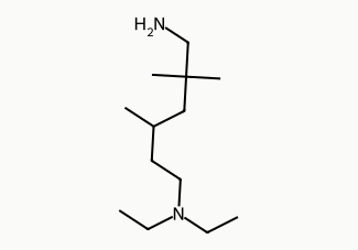 CCN(CC)CCC(C)CC(C)(C)CN